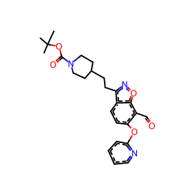 CC(C)(C)OC(=O)N1CCC(CCc2noc3c(C=O)c(Oc4ccccn4)ccc23)CC1